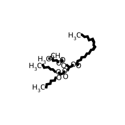 CCCCC/C=C\C/C=C\CCCCCCCC(=O)OCC(COC(=O)OCCN(C)C)COC(=O)C(OCCCCCCC)OCCCCCCC